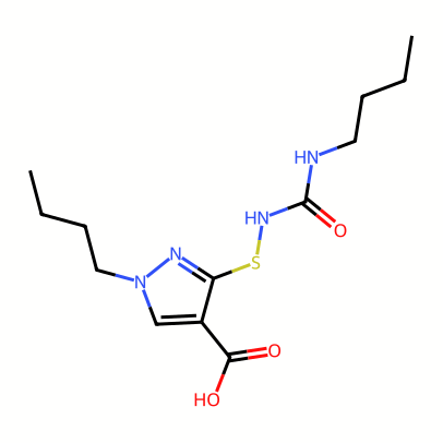 CCCCNC(=O)NSc1nn(CCCC)cc1C(=O)O